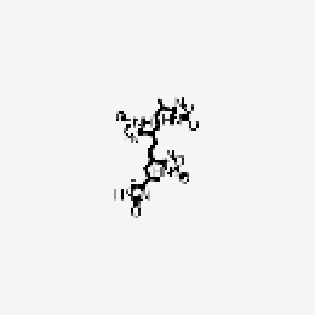 CC(CCC(CCC(CC(C)c1nc(=O)[nH]s1)C1=NOS(=O)N1)C1=NS[S+]([O-])N1)c1noc(=O)[nH]1